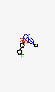 CN1CCN(S(=O)(=O)c2ccc(-c3cccc(F)c3)cc2)C1N1CCN(C2CCC2)CC1